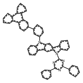 c1ccc(-c2nc(-c3ccccc3)nc(-n3c4ccccc4c4cc5c(cc43)c3ccccc3n5-c3cccc(-c4ccc5c6ccccc6c6ccccc6c5c4)c3)n2)cc1